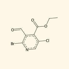 CCOC(=O)c1c(Cl)cnc(Br)c1C=O